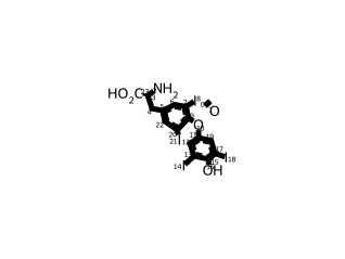 C=O.N[C@@H](Cc1cc(I)c(Oc2cc(I)c(O)c(I)c2)c(I)c1)C(=O)O